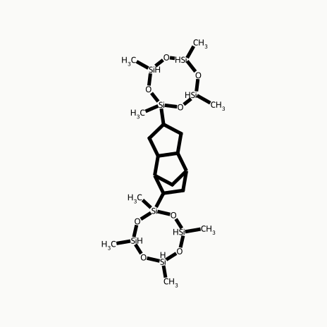 C[SiH]1O[SiH](C)O[Si](C)(C2CC3C4CC(C3C2)C([Si]2(C)O[SiH](C)O[SiH](C)O[SiH](C)O2)C4)O[SiH](C)O1